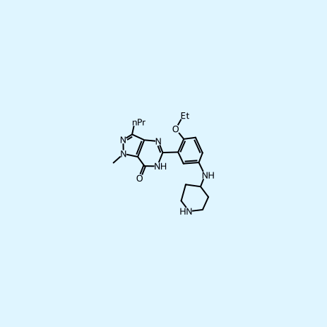 CCCc1nn(C)c2c(=O)[nH]c(-c3cc(NC4CCNCC4)ccc3OCC)nc12